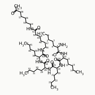 CCCCCC(N)C(=O)NC(CCCCC)C(=O)NC(CCCCC)C(=O)NC(CCCCC)C(=O)NC(CCCCC)C(=O)NCCCCCC(=O)NCCCCCC(C)=O